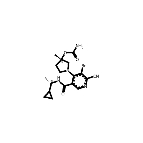 C[C@H](NC(=O)c1cnc(C#N)c(Br)c1N1CC[C@](C)(OC(N)=O)C1)C1CC1